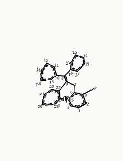 Cc1cccnc1CC(=C(c1ccccc1)c1ccccc1)c1ccccc1C(C)C